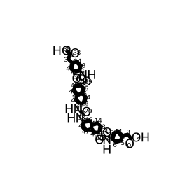 O=C(O)Cc1ccc(NS(=O)(=O)c2ccc3cc(NC(=O)Nc4ccc5cc(S(=O)(=O)Nc6ccc(CC(=O)O)cc6)ccc5c4)ccc3c2)cc1